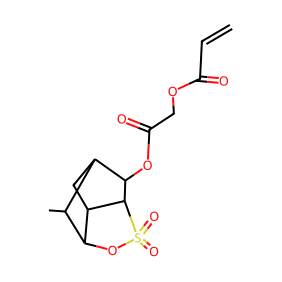 C=CC(=O)OCC(=O)OC1C2CC3C(OS(=O)(=O)C31)C2C